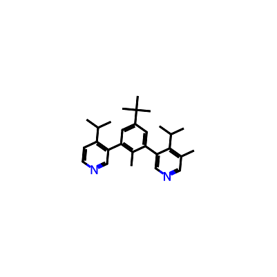 Cc1cncc(-c2cc(C(C)(C)C)cc(-c3cnccc3C(C)C)c2C)c1C(C)C